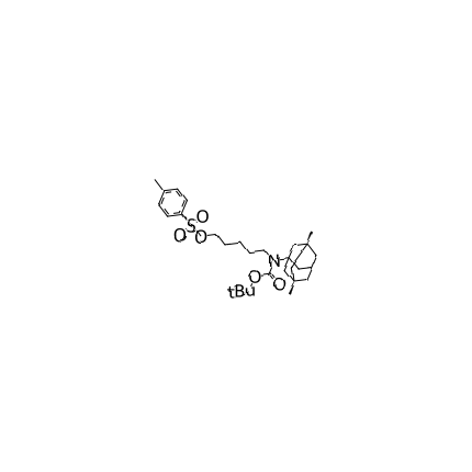 Cc1ccc(S(=O)(=O)OCCCCCN(C(=O)OC(C)(C)C)C23CC4C[C@@](C)(C2)C[C@](C)(C4)C3)cc1